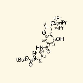 CC(C)[Si](OC[C@H](C)Oc1cc(O)cc(C(=O)Nc2ccn(C(=O)OC(C)(C)C)n2)c1)(C(C)C)C(C)C